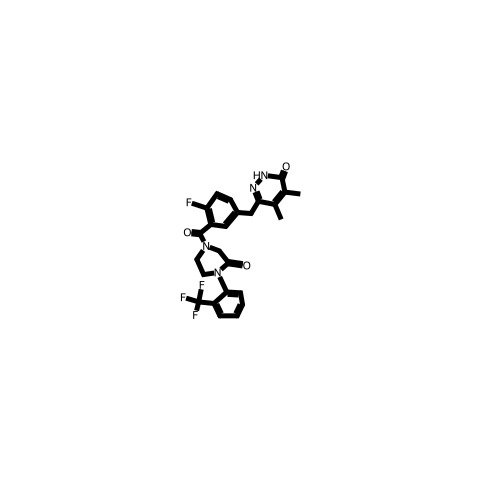 Cc1c(Cc2ccc(F)c(C(=O)N3CCN(c4ccccc4C(F)(F)F)C(=O)C3)c2)n[nH]c(=O)c1C